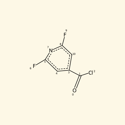 O=C(Cl)c1cc(F)nc(F)c1